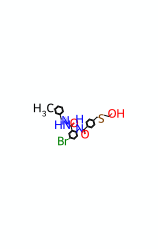 Cc1cccc(/C=N/NC(=O)c2cc(Br)ccc2NC(=O)c2ccc(CSCCO)cc2)c1